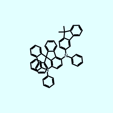 CC1(C)c2ccccc2-c2cc(N(c3ccccc3)c3ccc(N(c4ccccc4)c4ccccc4)c4c3-c3ccccc3C43c4ccccc4-c4ccccc43)ccc21